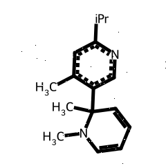 Cc1cc(C(C)C)ncc1C1(C)C=CC=CN1C